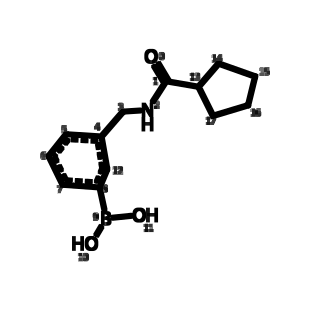 O=C(NCc1cccc(B(O)O)c1)C1CCCC1